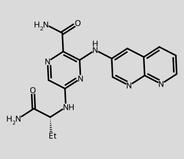 CC[C@@H](Nc1cnc(C(N)=O)c(Nc2cnc3ncccc3c2)n1)C(N)=O